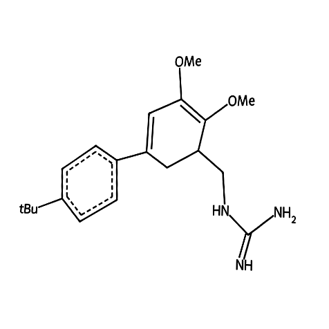 COC1=C(OC)C(CNC(=N)N)CC(c2ccc(C(C)(C)C)cc2)=C1